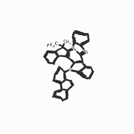 CC1(C)c2ccccc2-c2c1n1c3ccccc3nc1c1c3ccccc3n(-c3cccc4c3ccc3ccccc34)c21